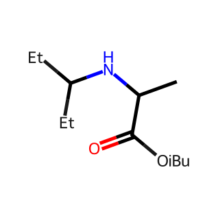 CCC(CC)NC(C)C(=O)OCC(C)C